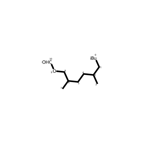 CCC(C)CC(C)CCC(C)CO[C]=O